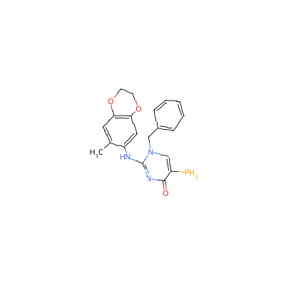 Cc1cc2c(cc1Nc1nc(=O)c(P)cn1Cc1ccccc1)OCCO2